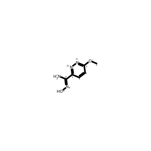 COc1ccc(C(N)=NO)nn1